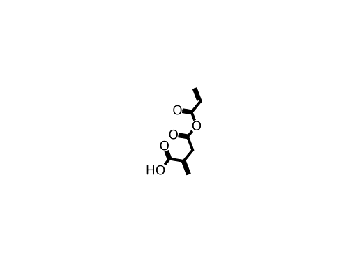 C=CC(=O)OC(=O)CC(=C)C(=O)O